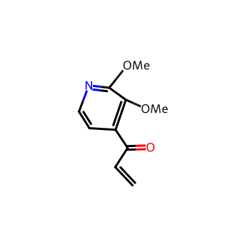 C=CC(=O)c1ccnc(OC)c1OC